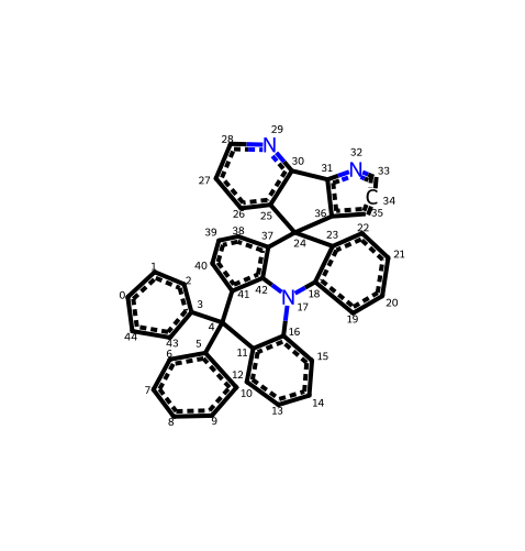 c1ccc(C2(c3ccccc3)c3ccccc3N3c4ccccc4C4(c5cccnc5-c5ncccc54)c4cccc2c43)cc1